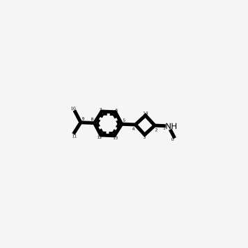 CNC1CC(c2ccc(C(C)C)cc2)C1